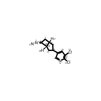 [N-]=[N+]=C1C[C@@H]2CC(c3cnc(Cl)c(Cl)c3)C[C@H]12